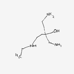 CCNCC(O)(CN)CN